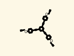 C#CCOc1ccc(C#Cc2cc(C#Cc3ccc(OCC#C)cc3)cc(C#Cc3ccc(OCC#C)cc3)c2)cc1